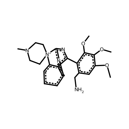 COc1cc(CN)c(-c2nc3nc4cccc(c24)[N+]32CCN(C)CC2)c(OC)c1OC